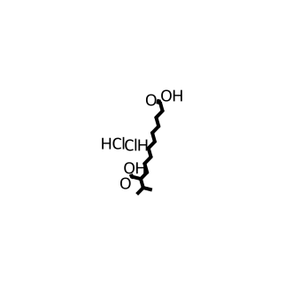 CC(C)C(CCCCCCCCCC(=O)O)C(=O)O.Cl.Cl